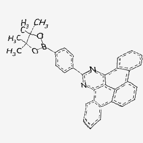 CC1(C)OB(c2ccc(-c3nc4c5ccccc5c5cccc6c7ccccc7c(n3)c4c56)cc2)OC1(C)C